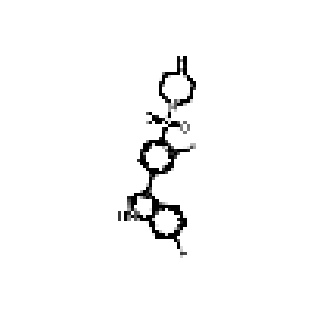 O=S(=O)(c1ccc(-c2c[nH]c3cc(F)ccc23)cc1F)N1CCNCC1